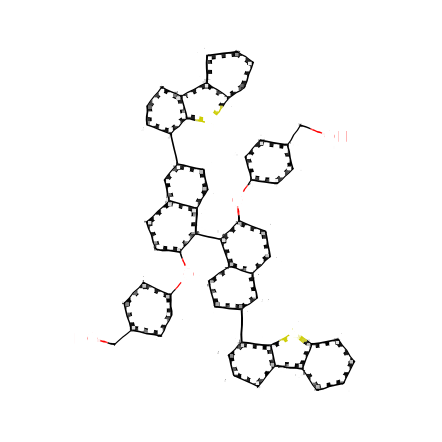 OCc1ccc(Oc2ccc3cc(-c4cccc5c4sc4ccccc45)ccc3c2-c2c(Oc3ccc(CO)cc3)ccc3cc(-c4cccc5c4sc4ccccc45)ccc23)cc1